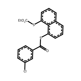 CCOC(=O)Sc1cccc2cccc(SC(=O)c3cccc(Cl)c3)c12